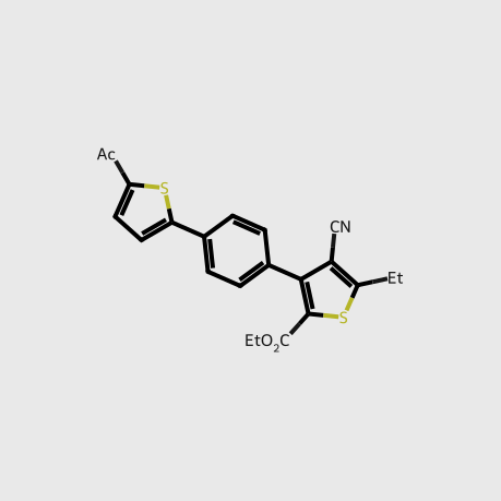 CCOC(=O)c1sc(CC)c(C#N)c1-c1ccc(-c2ccc(C(C)=O)s2)cc1